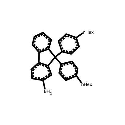 Bc1ccc2c(c1)C(c1ccc(CCCCCC)cc1)(c1ccc(CCCCCC)cc1)c1ccccc1-2